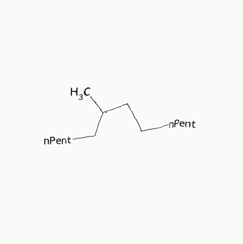 CCCCCCC[C](C)CCCCCC